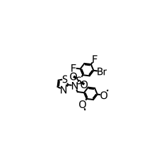 COc1ccc(CN(c2nccs2)S(=O)(=O)c2cc(Br)c(F)cc2F)c(OC)c1